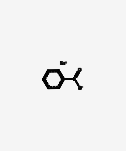 O=S([O-])c1ccccc1.[Na+]